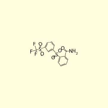 NC(=O)c1ccccc1S(=O)(=O)c1cccc(S(=O)(=O)C(F)(F)F)c1